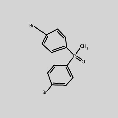 CP(=O)(c1ccc(Br)cc1)c1ccc(Br)cc1